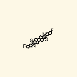 O=c1c2ccc3c4ccc5c6c(ccc(c7ccc(c2c73)c2nc3cc7cc(F)ccc7cc3n12)c46)c(=O)n1c2cc3cc(F)ccc3cc2nc51